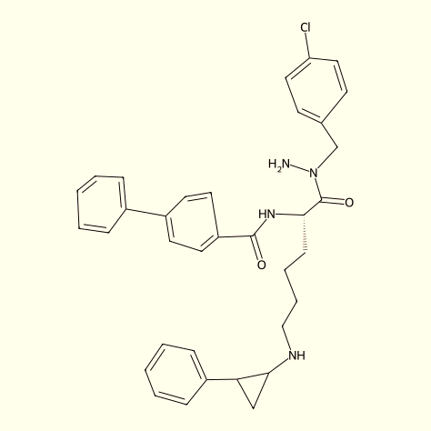 NN(Cc1ccc(Cl)cc1)C(=O)[C@H](CCCCNC1CC1c1ccccc1)NC(=O)c1ccc(-c2ccccc2)cc1